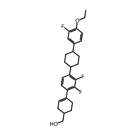 CCOc1ccc(C2CCC(c3ccc(C4=CCC(CO)CC4)c(F)c3F)CC2)cc1F